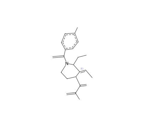 C=C(C)C(=C)C1CCN(C(=C)c2ccc(C)cc2)C(CC)/C1=C/C